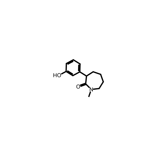 CN1CCCCC(c2cccc(O)c2)C1=O